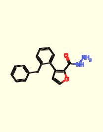 NNC(=O)c1occc1-c1ccccc1Cc1ccccc1